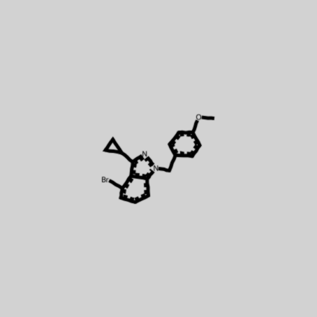 COc1ccc(Cn2nc(C3CC3)c3c(Br)cccc32)cc1